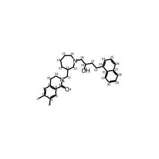 Cc1cc2c(cc1C)C(=O)N(CC1CCCCN(CC(O)CCc3cccc4ccccc34)C1)CC2